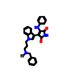 CCN(CCCn1cc(C2=C(Nc3ccccc3)C(=O)NC2=O)c2ccccc21)Cc1ccccc1